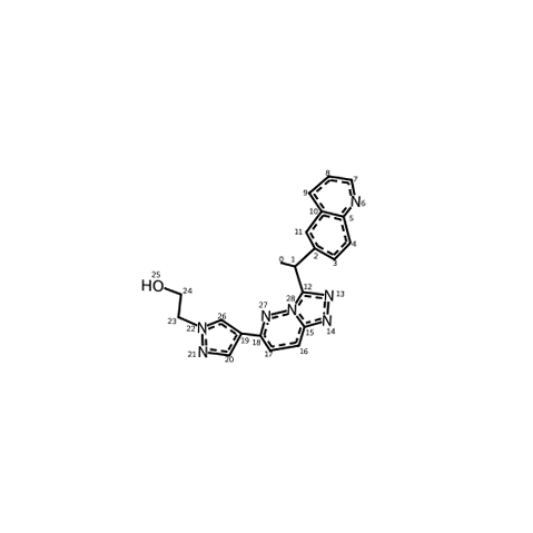 CC(c1ccc2ncccc2c1)c1nnc2ccc(-c3cnn(CCO)c3)nn12